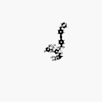 CCCP(=O)(O)OC1(C(=O)N2C[C@H](NC(=O)[C@@H]3C[C@H](F)CN3C(=O)O)C[C@@H]2CNC(=O)c2ccc(C#Cc3ccc(CN4CCOCC4)cc3)cc2)CC1